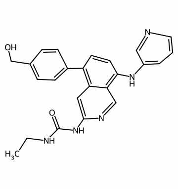 CCNC(=O)Nc1cc2c(-c3ccc(CO)cc3)ccc(Nc3cccnc3)c2cn1